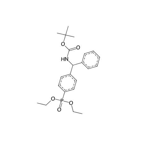 CCOP(=O)(OCC)c1ccc(C(NC(=O)OC(C)(C)C)c2ccccc2)cc1